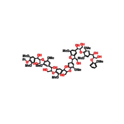 COc1ccccc1OC(CO)C(O)c1cc(OC)c(OC(CO)C(O)c2cc(OC)c3c(c2)[C@@H](CO)C(c2ccc(OC(CO)C(O)c4ccc(OC(CO)C(O)c5cc(OC)c(OC(CO)C(O)c6cc(OC)c(OC(C)C)c(OC)c6)c(OC)c5)c(OC)c4)c(OC)c2)O3)c(OC)c1